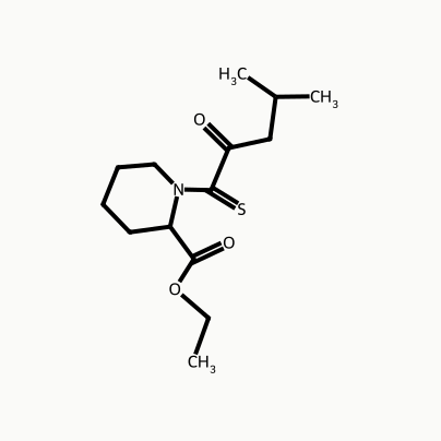 CCOC(=O)C1CCCCN1C(=S)C(=O)CC(C)C